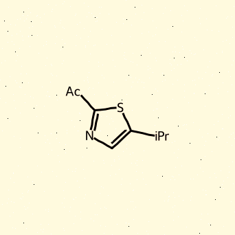 CC(=O)c1ncc(C(C)C)s1